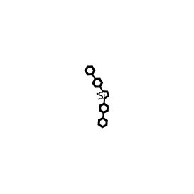 C[Si]1(C)C(c2ccc(-c3ccccc3)cc2)=CC=C1c1ccc(-c2ccccc2)cc1